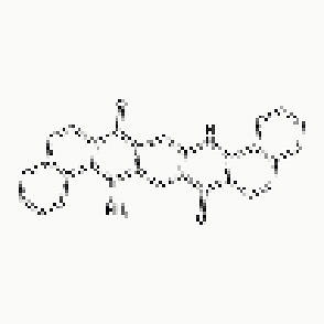 Nn1c2cc3c(=O)c4ccc5ccccc5c4[nH]c3cc2c(=O)c2ccc3ccccc3c21